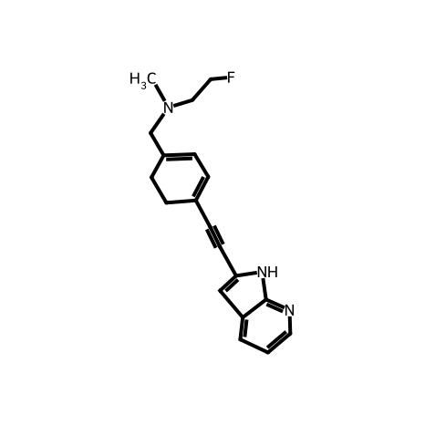 CN(CCF)CC1=CC=C(C#Cc2cc3cccnc3[nH]2)CC1